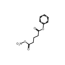 O=C(CCCC(=O)O[N+](=O)[O-])Oc1ccccc1